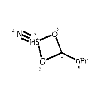 CCCC1O[SH](#N)O1